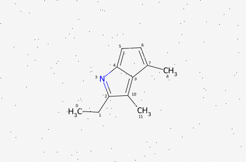 CCC1=NC2=CC=C(C)C2=C1C